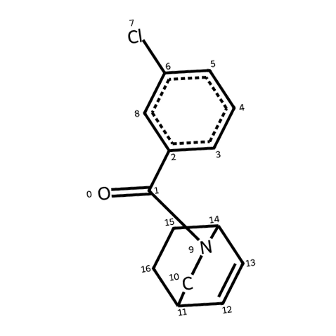 O=C(c1cccc(Cl)c1)N1CC2C=CC1CC2